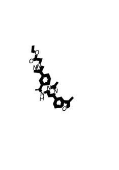 CCOC(=O)Cn1cc(-c2cccc([C@H](C)Nc3cc(-c4ccc5occ(C)c5c4)nc(C)n3)c2)cn1